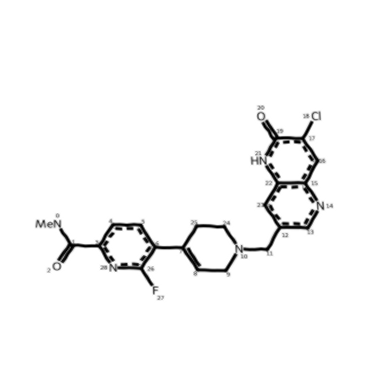 CNC(=O)c1ccc(C2=CCN(Cc3cnc4cc(Cl)c(=O)[nH]c4c3)CC2)c(F)n1